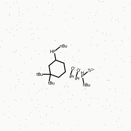 CC(C)[O-].CC(C)[O-].CCCCPC1CCCC(C(C)(C)C)(C(C)(C)C)C1.CCCC[PH][Ti+2]